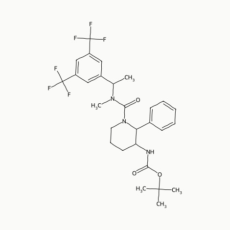 CC(c1cc(C(F)(F)F)cc(C(F)(F)F)c1)N(C)C(=O)N1CCCC(NC(=O)OC(C)(C)C)C1c1ccccc1